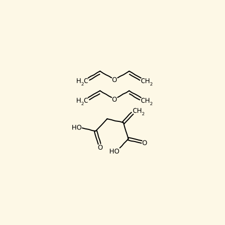 C=C(CC(=O)O)C(=O)O.C=COC=C.C=COC=C